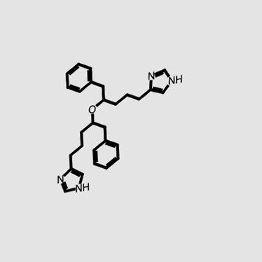 c1ccc(CC(CCCc2c[nH]cn2)OC(CCCc2c[nH]cn2)Cc2ccccc2)cc1